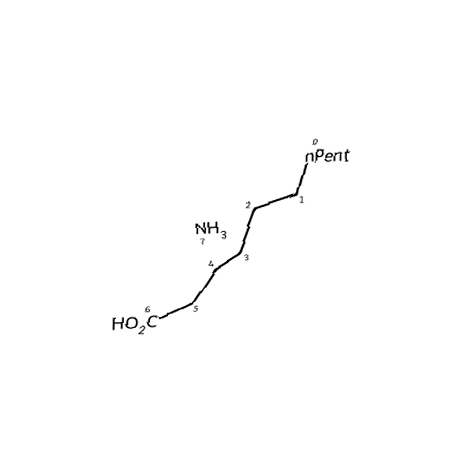 CCCCCCCCCCC(=O)O.N